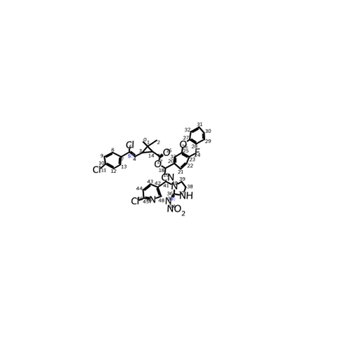 CC1(C)C(/C=C(\Cl)c2ccc(Cl)cc2)C1C(=O)OC(C#N)c1ccc(F)c(Oc2ccccc2)c1.O=[N+]([O-])/N=C1\NCCN1Cc1ccc(Cl)nc1